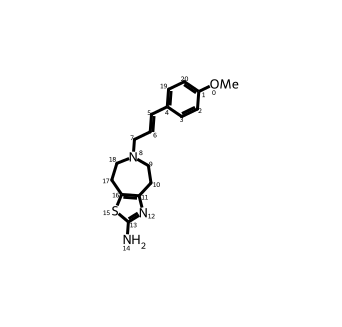 COc1ccc(/C=C/CN2CCc3nc(N)sc3CC2)cc1